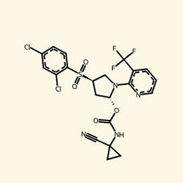 N#CC1(NC(=O)O[C@@H]2C[C@@H](S(=O)(=O)c3ccc(Cl)cc3Cl)CN2c2ncccc2C(F)(F)F)CC1